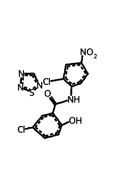 O=C(Nc1ccc([N+](=O)[O-])cc1Cl)c1cc(Cl)ccc1O.c1nnsn1